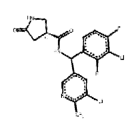 O=C1C[C@H](C(=O)NC(c2cnc(C(F)(F)F)c(Cl)c2)c2ccc(F)c(Cl)c2F)CN1